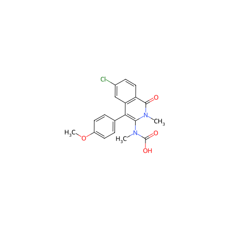 COc1ccc(-c2c(N(C)C(=O)O)n(C)c(=O)c3ccc(Cl)cc23)cc1